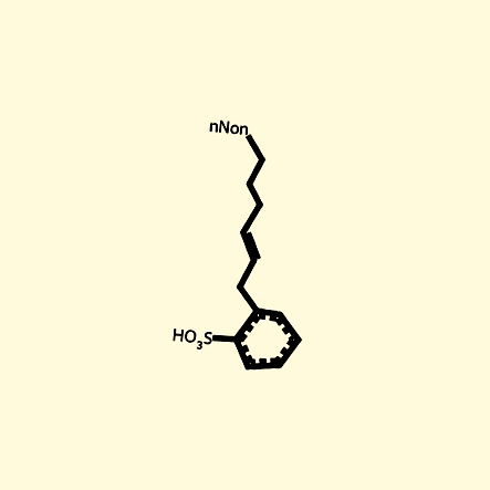 CCCCCCCCCCCCC=CCc1ccccc1S(=O)(=O)O